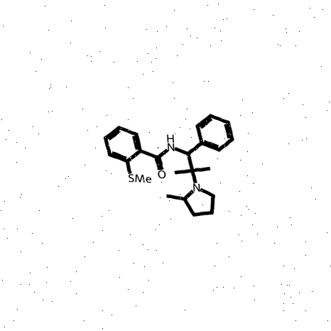 CSc1ccccc1C(=O)NC(c1ccccc1)C(C)(C)N1CCCC1C